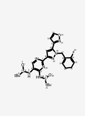 CC(C)(C)[S+]([O-])Nc1cnc(-c2cc(-c3ccon3)n(CC3=CCCC=C3F)n2)nc1N[S+]([O-])C(C)(C)C